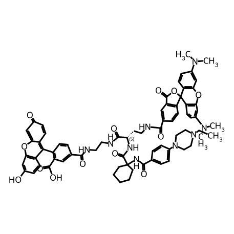 CCN1CCN(c2ccc(C(=O)NC3(C(=O)N[C@@H](CCNC(=O)c4ccc5c(c4)C(=O)OC54c5ccc(N(C)C)cc5Oc5cc(N(C)C)ccc54)C(=O)NCCNC(=O)c4ccc(-c5c6ccc(=O)cc-6oc6cc(O)ccc56)c(C(=O)O)c4)CCCCC3)cc2)CC1